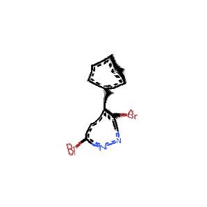 Brc1cc(-c2ccccc2)c(Br)nn1